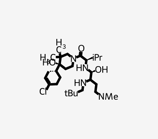 CNCCC(NCC(C)(C)C)[C@H](O)N[C@@H](C(=O)N1CC[C@](O)([C@H]2CC=C(Cl)CC2)C(C)(C)C1)C(C)C